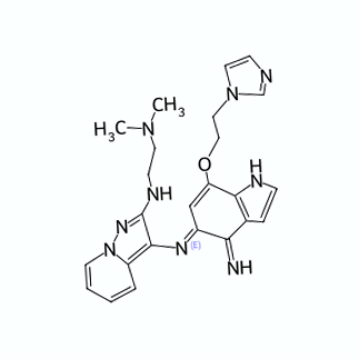 CN(C)CCNc1nn2ccccc2c1/N=C1\C=C(OCCn2ccnc2)c2[nH]ccc2C1=N